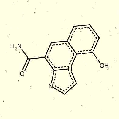 NC(=O)c1cc2cccc(O)c2n2ccnc12